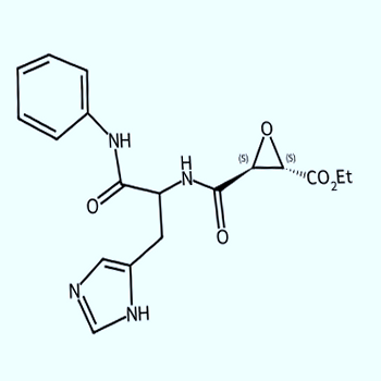 CCOC(=O)[C@H]1O[C@@H]1C(=O)NC(Cc1cnc[nH]1)C(=O)Nc1ccccc1